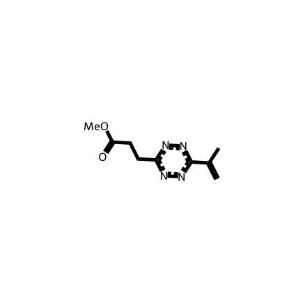 C=C(C)c1nnc(CCC(=O)OC)nn1